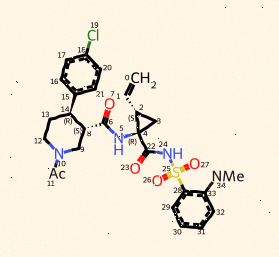 C=C[C@@H]1C[C@]1(NC(=O)[C@@H]1CN(C(C)=O)CC[C@H]1c1ccc(Cl)cc1)C(=O)NS(=O)(=O)c1ccccc1NC